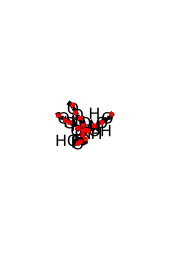 C#CCOCCOCCNC(=O)CCC(CCC(=O)NCCOCCOCC#C)(CCC(O)NCCOCCOCC#C)NC(=O)c1cccc(OP(C)(=O)O)c1